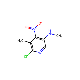 CNc1cnc(Cl)c(C)c1[N+](=O)[O-]